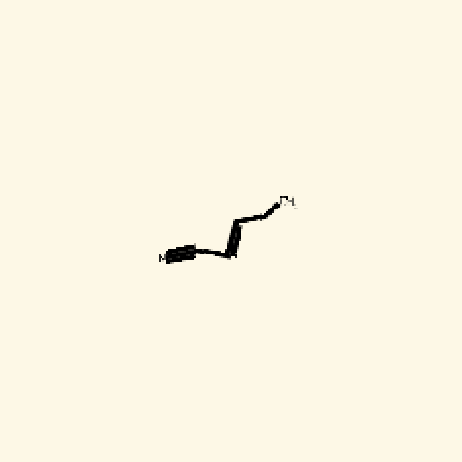 CCC=CC#N